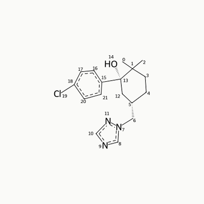 CC1(C)CC[C@H](Cn2cncn2)C[C@@]1(O)c1ccc(Cl)cc1